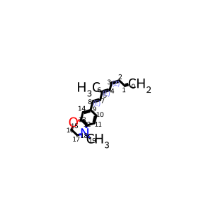 C=C\C=C/C=C(C)/C=C/c1ccc2c(c1)OCCN2C